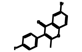 Cc1oc2ccc(Br)cc2c(=O)c1-c1ccc(F)cc1